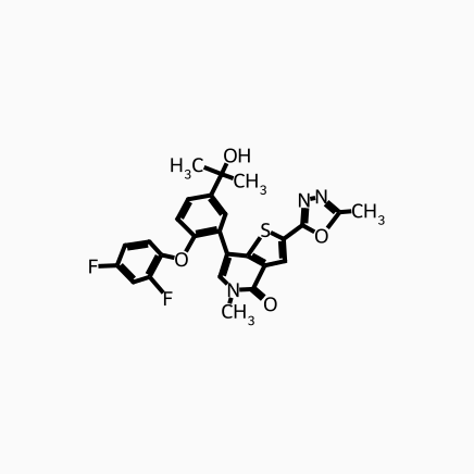 Cc1nnc(-c2cc3c(=O)n(C)cc(-c4cc(C(C)(C)O)ccc4Oc4ccc(F)cc4F)c3s2)o1